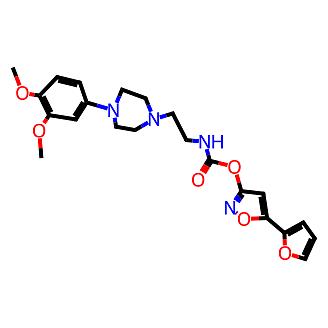 COc1ccc(N2CCN(CCNC(=O)Oc3cc(-c4ccco4)on3)CC2)cc1OC